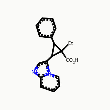 CCC1(C(=O)O)C(c2ccccc2)C1c1cnc2ccccn12